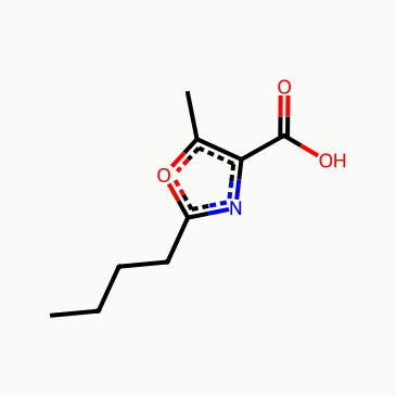 CCCCc1nc(C(=O)O)c(C)o1